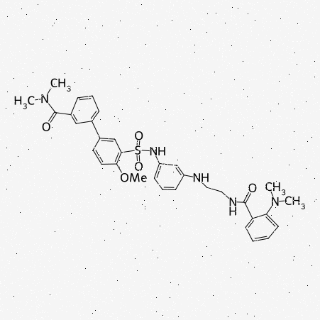 COc1ccc(-c2cccc(C(=O)N(C)C)c2)cc1S(=O)(=O)Nc1cccc(NCCNC(=O)c2ccccc2N(C)C)c1